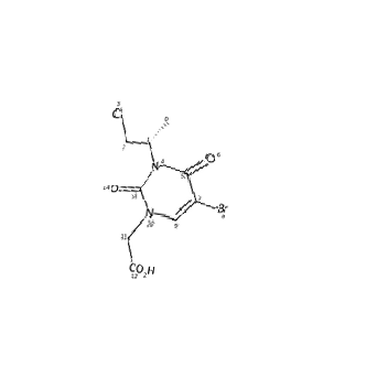 C[C@@H](CCl)n1c(=O)c(Br)cn(CC(=O)O)c1=O